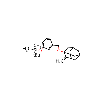 C=C1C2CC3CC(C2)CC1(OCc1cccc(O[Si](C)(C)C(C)(C)C)c1)C3